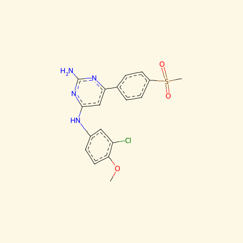 COc1ccc(Nc2cc(-c3ccc(S(C)(=O)=O)cc3)nc(N)n2)cc1Cl